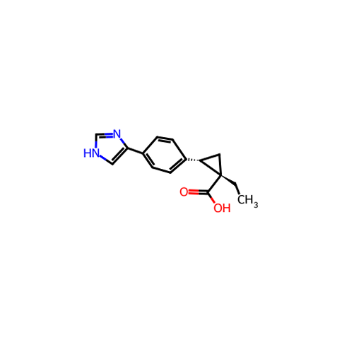 CC[C@]1(C(=O)O)C[C@H]1c1ccc(-c2c[nH]cn2)cc1